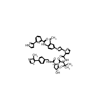 COc1cc(N2CC(n3nccc3C(=O)N[C@H](C(=O)N3C[C@H](O)C[C@H]3C(=O)NCc3ccc(-c4scnc4C)cc3)C(C)(C)C)C2)ccc1NC(=O)c1cccc(-c2cc[nH]n2)n1